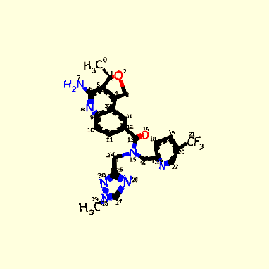 C[C@H]1OCc2c1c(N)nc1ccc(C(=O)N(Cc3ccc(C(F)(F)F)cn3)Cc3ncn(C)n3)cc21